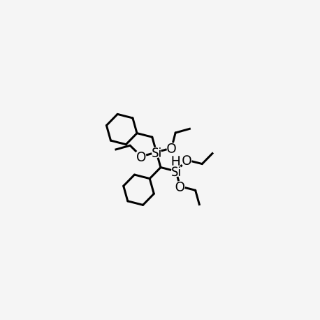 CCO[SiH](OCC)C(C1CCCCC1)[Si](CC1CCCCC1)(OCC)OCC